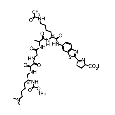 CC(NC(=O)CNC(=O)C(=O)NC[C@H](CCCCN(C)C)NC(=O)OC(C)(C)C)C(=O)N[C@@H](CCCCNC(=O)C(F)(F)F)C(=O)Nc1ccc2nc(C3=NC(C(=O)O)CS3)sc2c1